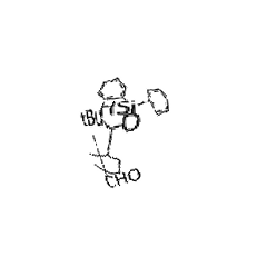 CC(C)(C)C(O[SiH](c1ccccc1)c1ccccc1)C1CCC(C)(C=O)C1(C)C